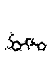 OCc1cc(-c2cnc(C3CCCC3)[nH]2)ccc1Br